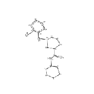 O=C(NC1CCCCC1)C1CCCC(Oc2ccccc2Cl)C1